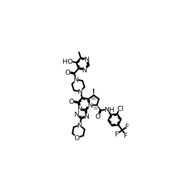 Cc1ncnc(C(=O)N2CCN(c3c4n(c5nc(N6CCOCC6)nn5c3=O)[C@H](C(=O)Nc3ccc(C(F)(F)F)cc3Cl)C[C@@H]4C)CC2)c1O